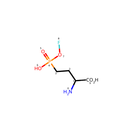 NC(CCP(=O)(O)OF)C(=O)O